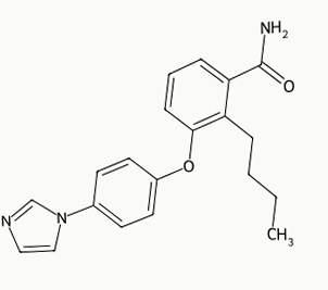 CCCCc1c(Oc2ccc(-n3ccnc3)cc2)cccc1C(N)=O